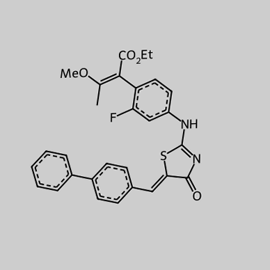 CCOC(=O)C(=C(C)OC)c1ccc(NC2=NC(=O)C(=Cc3ccc(-c4ccccc4)cc3)S2)cc1F